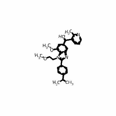 COCCn1c(-c2ccc(C(C)C)cc2)nc2cc(C(O)c3cccnc3C)cc(OC)c21